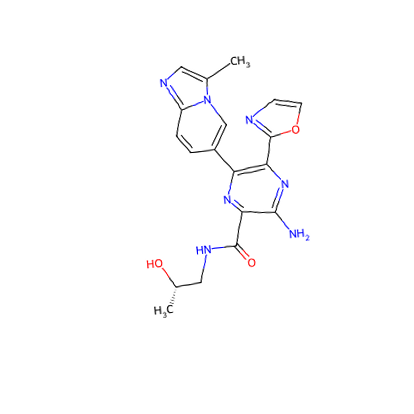 Cc1cnc2ccc(-c3nc(C(=O)NC[C@H](C)O)c(N)nc3-c3ncco3)cn12